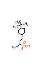 CC(C)(C)C1CCC(CCC(N)S(=O)(=O)O)CC1